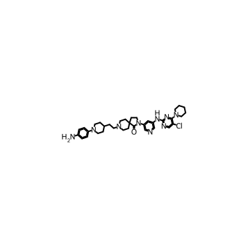 Nc1ccc(N2CCC(CCN3CCC4(CC3)CCN(c3cncc(Nc5ncc(Cl)c(N6CCCCC6)n5)c3)C4=O)CC2)cc1